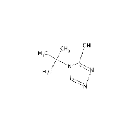 CC(C)(C)n1cnnc1O